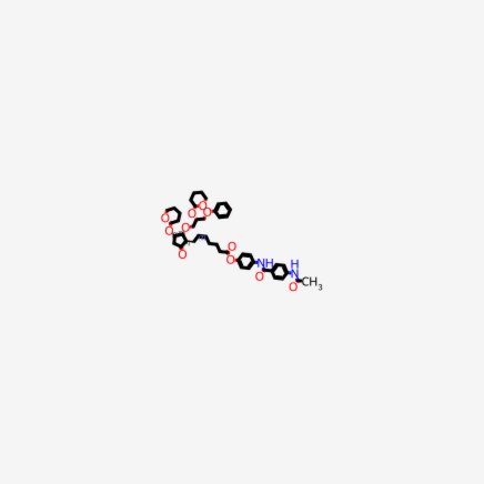 CC(=O)Nc1ccc(C(=O)Nc2ccc(OC(=O)CCC/C=C\C[C@H]3C(=O)C[C@@H](OC4CCCCO4)[C@@H]3OCC(COc3ccccc3)OC3CCCCO3)cc2)cc1